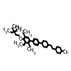 CCc1cc(-c2ccc(C3CCC(CCC4CCC(C)CC4)CC3)cc2)c(CC)c(CC)c1OCCC(CC)(CC)CC